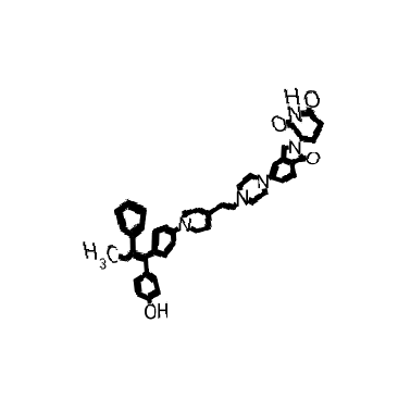 CC/C(=C(\c1ccc(O)cc1)c1ccc(N2CCC(CCN3CCN(c4ccc5c(c4)CN([C@H]4CCC(=O)NC4=O)C5=O)CC3)CC2)cc1)c1ccccc1